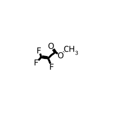 COC(=O)C(F)=C(F)F